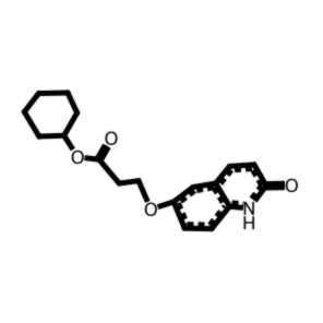 O=C(CCOc1ccc2[nH]c(=O)ccc2c1)OC1CCCCC1